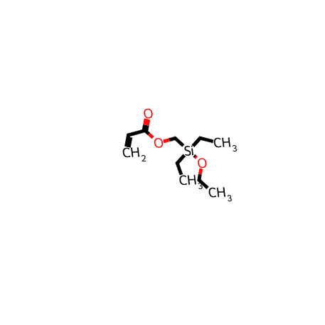 C=CC(=O)OC[Si](CC)(CC)OCC